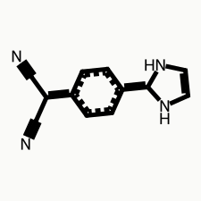 N#CC(C#N)=c1ccc(=C2NC=CN2)cc1